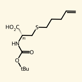 C=CCCCSC[C@H](NC(=O)OC(C)(C)C)C(=O)O